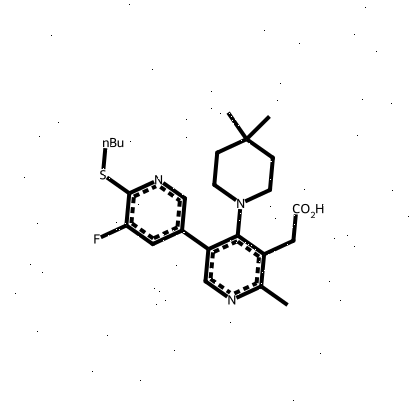 CCCCSc1ncc(-c2cnc(C)c(CC(=O)O)c2N2CCC(C)(C)CC2)cc1F